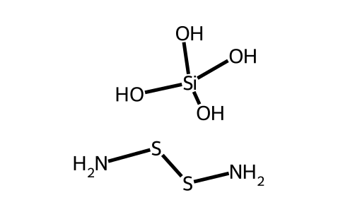 NSSN.O[Si](O)(O)O